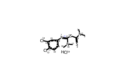 CN(C)C(=S)S/C(=N/c1ccc(Cl)c(Cl)c1)N(C)C.Cl